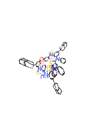 CSN1c2cc3c(cc2B2c4cc5c(cc4Oc4cc(C67CC8CC(CC(C8)C6)C7)cc1c42)N(SC)c1cc(C24CC6CC(CC(C6)C2)C4)cc2c1B5c1sc4ccccc4c1N2c1ccccc1)B1c2sc4ccccc4c2N(c2ccccc2)c2cc(C45CC6CC(CC(C6)C4)C5)cc(c21)N3